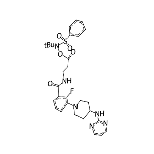 CC(C)(C)N(OC(=O)CCNC(=O)c1cccc(N2CCC(Nc3ncccn3)CC2)c1F)S(=O)(=O)c1ccccc1